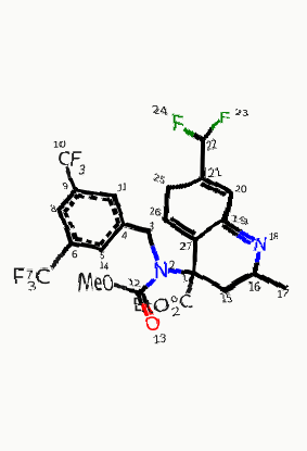 CCOC(=O)C1(N(Cc2cc(C(F)(F)F)cc(C(F)(F)F)c2)C(=O)OC)CC(C)N=C2C=C(C(F)F)CC=C21